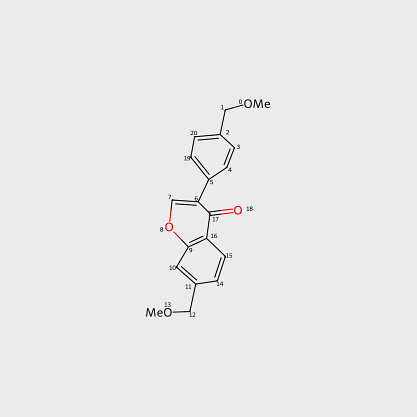 COCc1ccc(-c2coc3cc(COC)ccc3c2=O)cc1